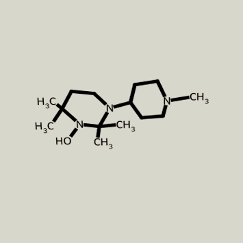 CN1CCC(N2CCC(C)(C)N(O)C2(C)C)CC1